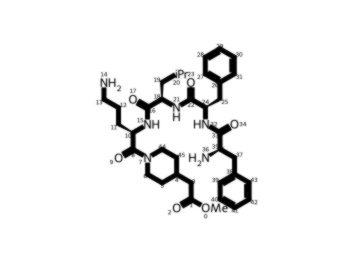 COC(=O)CC1CCN(C(=O)[C@@H](CCCN)NC(=O)[C@@H](CC(C)C)NC(=O)[C@@H](Cc2ccccc2)NC(=O)[C@H](N)Cc2ccccc2)CC1